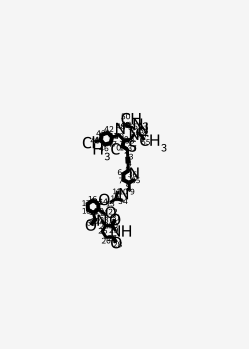 Cc1c(C#Cc2ccc(CN3CC(COc4cccc5c4C(=O)N(C4CCC(=O)NC4=O)C5=O)C3)cn2)sc2c1C(c1ccc(Cl)cc1)=N[C@@H](C)c1nnc(C)n1-2